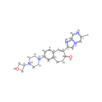 Cc1cn2cc(C3=Cc4ccc(N5CCN(C6COC6)CC5)cc4CCC3=O)nc2cn1